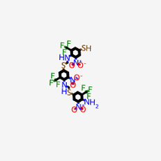 Nc1c([N+](=O)[O-])cc(SCNc2c([N+](=O)[O-])cc(SCNc3c([N+](=O)[O-])cc(S)cc3C(F)(F)F)cc2C(F)(F)F)cc1C(F)(F)F